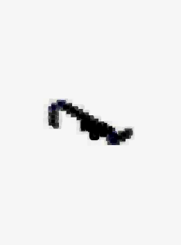 CCCCC/C=C\C/C=C\CCCCCCCCC(CCCCCCCC/C=C\C/C=C\CCCCC)CN(C)CCNC(N)=O